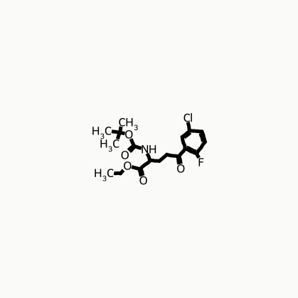 CCOC(=O)C(CCC(=O)c1cc(Cl)ccc1F)NC(=O)OC(C)(C)C